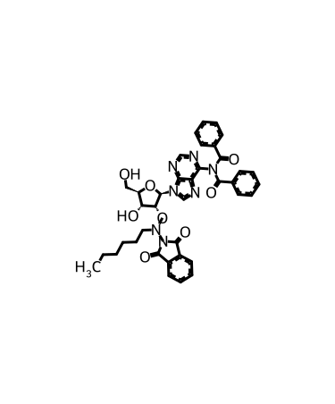 CCCCCCN(O[C@@H]1[C@H](O)[C@@H](CO)O[C@H]1n1cnc2c(N(C(=O)c3ccccc3)C(=O)c3ccccc3)ncnc21)N1C(=O)c2ccccc2C1=O